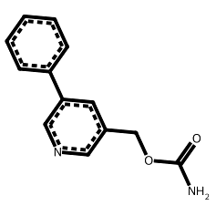 NC(=O)OCc1cncc(-c2ccccc2)c1